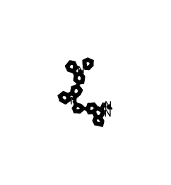 c1ccc(-n2c3ccccc3c3cc(-c4ccc5c(c4)c4ccccc4n5-c4cccc(-c5ccc6c(c5)c5ccccc5c5ncncc65)c4)ccc32)cc1